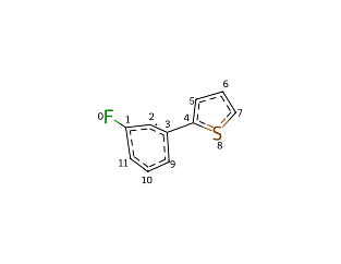 Fc1[c]c(-c2cccs2)ccc1